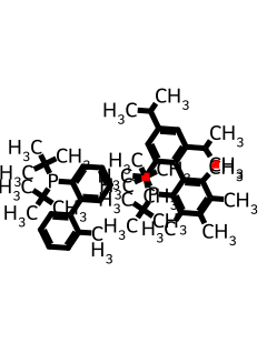 Cc1c(C)c(C)c(P(C(C)(C)C)C(C)(C)C)c(-c2c(C(C)C)cc(C(C)C)cc2C(C)C)c1C.Cc1ccccc1-c1ccccc1P(C(C)(C)C)C(C)(C)C